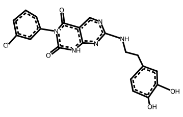 O=c1[nH]c2nc(NCCc3ccc(O)c(O)c3)ncc2c(=O)n1-c1cccc(Cl)c1